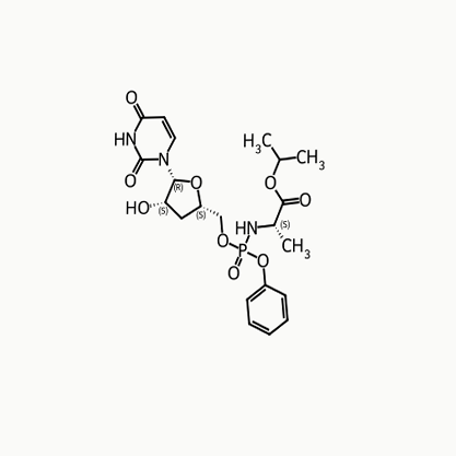 CC(C)OC(=O)[C@H](C)NP(=O)(OC[C@@H]1C[C@H](O)[C@H](n2ccc(=O)[nH]c2=O)O1)Oc1ccccc1